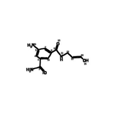 NC(=O)c1cc(N)cc(C(=O)NCC=CO)c1